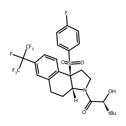 CC(C)(C)[C@H](O)C(=O)N1CC[C@@]2(S(=O)(=O)c3ccc(F)cc3)c3ccc(C(F)(C(F)(F)F)C(F)(F)F)cc3CC[C@@H]12